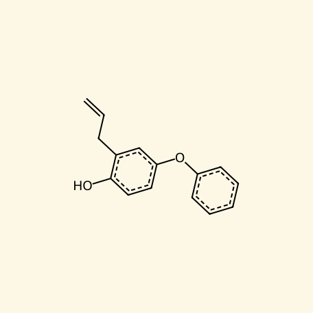 C=CCc1cc(Oc2ccccc2)ccc1O